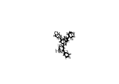 c1ccc(C2CN(c3cc(N4CCOCC4)n4nc(-c5ccncc5)cc4n3)CCN2)cc1